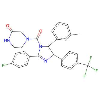 Cc1cccc(C2C(c3ccc(C(F)(F)F)cc3)N=C(c3ccc(F)cc3)N2C(=O)N2CCNC(=O)C2)c1